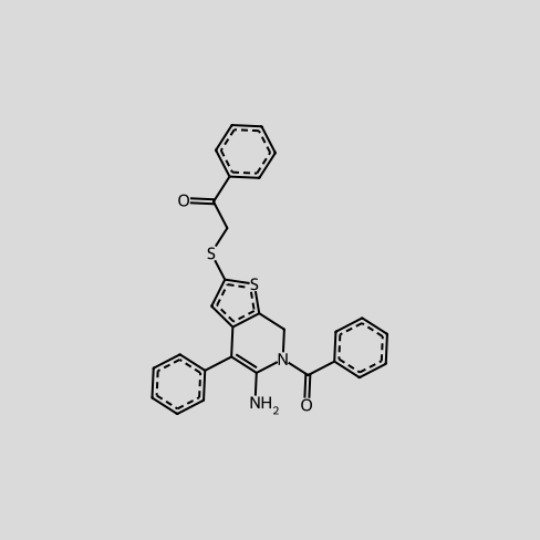 NC1=C(c2ccccc2)c2cc(SCC(=O)c3ccccc3)sc2CN1C(=O)c1ccccc1